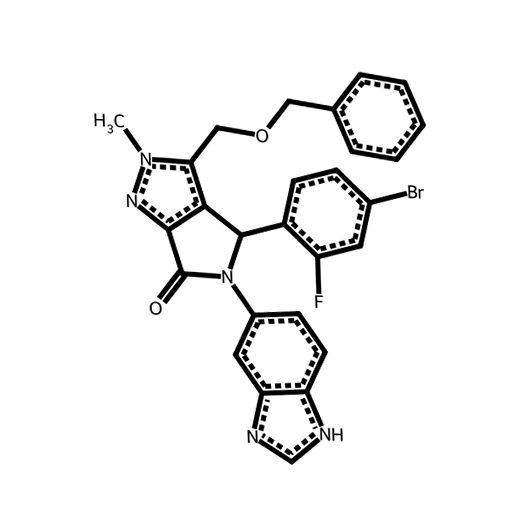 Cn1nc2c(c1COCc1ccccc1)C(c1ccc(Br)cc1F)N(c1ccc3[nH]cnc3c1)C2=O